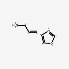 C=CCN.c1cocn1